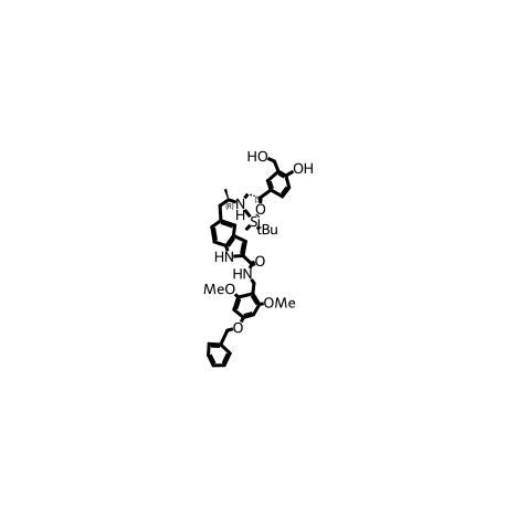 COc1cc(OCc2ccccc2)cc(OC)c1CNC(=O)c1cc2cc(C[C@@H](C)NC[C@@H](O[Si](C)(C)C(C)(C)C)c3ccc(O)c(CO)c3)ccc2[nH]1